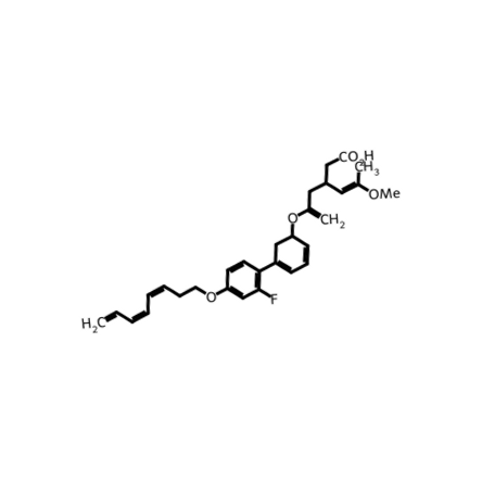 C=C/C=C\C=C/CCOc1ccc(C2=CC=CC(OC(=C)CC(/C=C(\C)OC)CC(=O)O)C2)c(F)c1